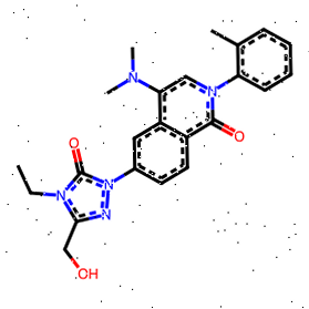 CCn1c(CO)nn(-c2ccc3c(=O)n(-c4ccccc4C)cc(N(C)C)c3c2)c1=O